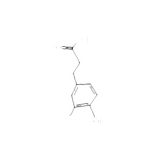 O=C(O)CCc1ccc(O)c(I)c1